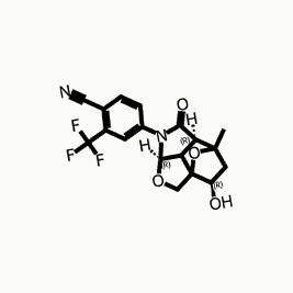 CC12C[C@@H](O)C3(CO[C@@H]4C3[C@H]1C(=O)N4c1ccc(C#N)c(C(F)(F)F)c1)O2